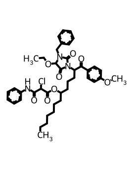 CCCCCCCC(CCCC(C(=O)c1ccc(OC)cc1)N1C(=O)C(OCC)N(Cc2ccccc2)C1=O)OC(=O)C(Cl)C(=O)Nc1ccccc1